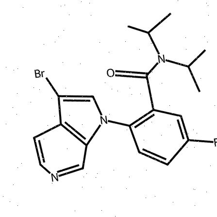 CC(C)N(C(=O)c1cc(F)ccc1-n1cc(Br)c2ccncc21)C(C)C